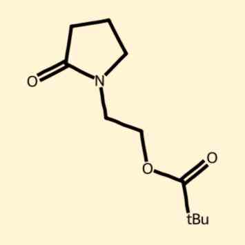 CC(C)(C)C(=O)OCCN1CCCC1=O